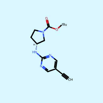 C#Cc1cnc(N[C@@H]2CCN(C(=O)OC(C)(C)C)C2)nc1